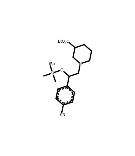 CCOC(=O)C1CCCN(CC(O[Si](C)(C)C(C)(C)C)c2ccc(C#N)cc2)C1